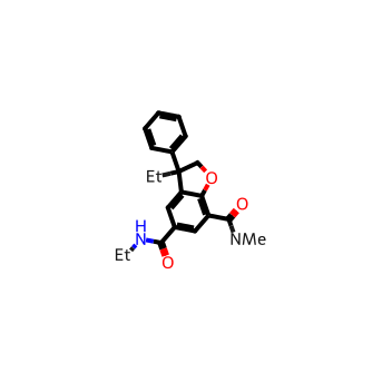 CCNC(=O)c1cc(C(=O)NC)c2c(c1)C(CC)(c1ccccc1)CO2